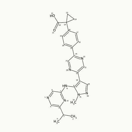 CC(C)c1cncc(Nc2c(-c3cnc(-c4ccc(C5(C(=O)O)CC5)cc4)cn3)cnn2C)n1